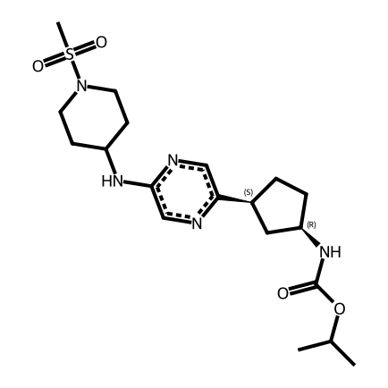 CC(C)OC(=O)N[C@@H]1CC[C@H](c2cnc(NC3CCN(S(C)(=O)=O)CC3)cn2)C1